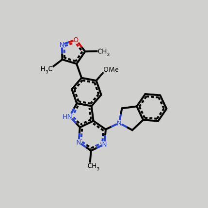 COc1cc2c(cc1-c1c(C)noc1C)[nH]c1nc(C)nc(N3Cc4ccccc4C3)c12